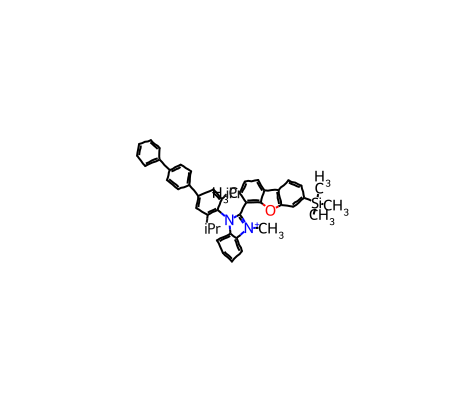 Cc1ccc2c(oc3cc([Si](C)(C)C)ccc32)c1-c1n(-c2c(C(C)C)cc(-c3ccc(-c4ccccc4)cc3)cc2C(C)C)c2ccccc2[n+]1C